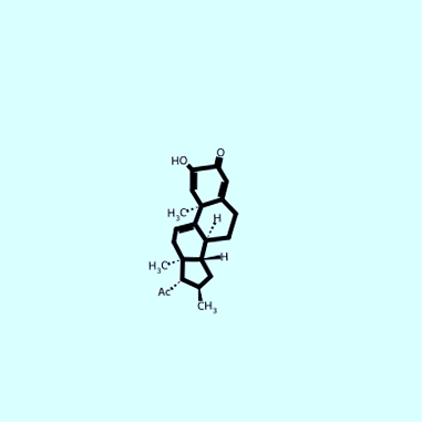 CC(=O)[C@H]1[C@H](C)C[C@H]2[C@@H]3CCC4=CC(=O)C(O)=C[C@]4(C)C3=CC[C@@]21C